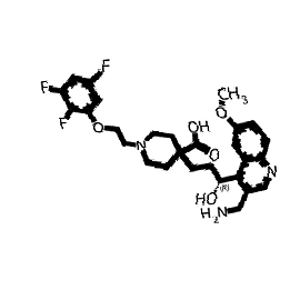 COc1ccc2ncc(CN)c([C@H](O)CCC3(C(=O)O)CCN(CCOc4cc(F)cc(F)c4F)CC3)c2c1